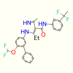 CC/C(Nc1ccc(OC(F)F)c(-c2ccccc2)c1)=C(/C(C)=N)C(=O)Nc1cccc(C(C)(F)F)c1